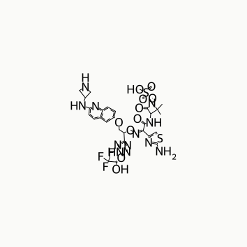 CC1(C)C(NC(=O)C(=NOC(COc2ccc3nc(NC4CNC4)ccc3c2)c2nn[nH]n2)c2csc(N)n2)C(=O)N1OS(=O)(=O)O.O=C(O)C(F)(F)F